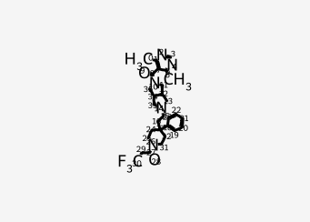 Cc1ncnc(C)c1C(=O)N1CC2CN(CCC3(c4ccccc4)CCN(C(=O)CC(F)(F)F)CC3)CC2C1